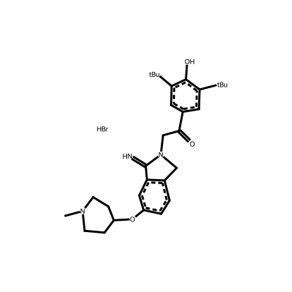 Br.CN1CCC(Oc2ccc3c(c2)C(=N)N(CC(=O)c2cc(C(C)(C)C)c(O)c(C(C)(C)C)c2)C3)CC1